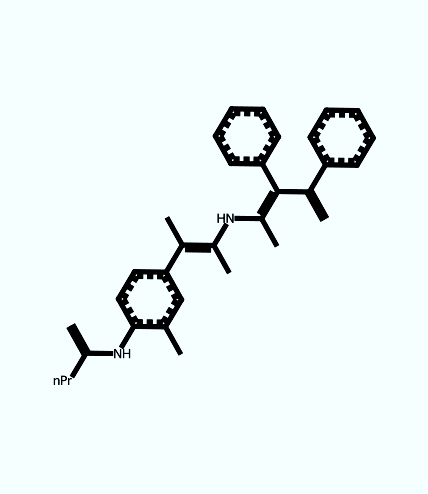 C=C(CCC)Nc1ccc(/C(C)=C(\C)N/C(C)=C(/C(=C)c2ccccc2)c2ccccc2)cc1C